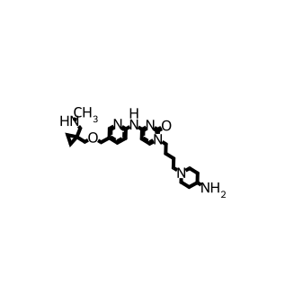 CNCC1(COCc2ccc(Nc3ccn(CCCCN4CCC(N)CC4)c(=O)n3)nc2)CC1